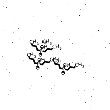 CCCCP(=O)(O)CCCC.CCCCP(=O)(O)CCCC.CCCCP(=O)(O)CCCC.[AlH3]